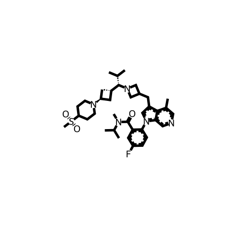 Cc1cncc2c1c(CC1CN([C@@H](C(C)C)[C@H]3C[C@H](N4CCC(S(C)(=O)=O)CC4)C3)C1)cn2-c1ccc(F)cc1C(=O)N(C)C(C)C